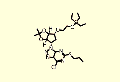 CCCSC1=NC2C(N=NN2[C@@H]2C[C@H](OCCO[Si](CC)(CC)CC)[C@H]3OC(C)(C)O[C@H]32)C(Cl)=N1